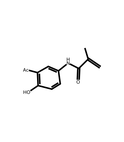 C=C(C)C(=O)Nc1ccc(O)c(C(C)=O)c1